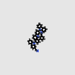 N#Cc1ccc2c3ccccc3n(-c3ccc(-c4cccc(C#N)c4-n4c5ccccc5c5ccc(-n6c7ccccc7c7ccccc76)cc54)cc3)c2c1